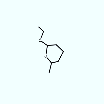 CCOC1CCCC(C)O1